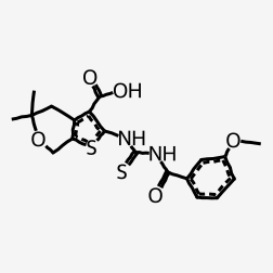 COc1cccc(C(=O)NC(=S)Nc2sc3c(c2C(=O)O)CC(C)(C)OC3)c1